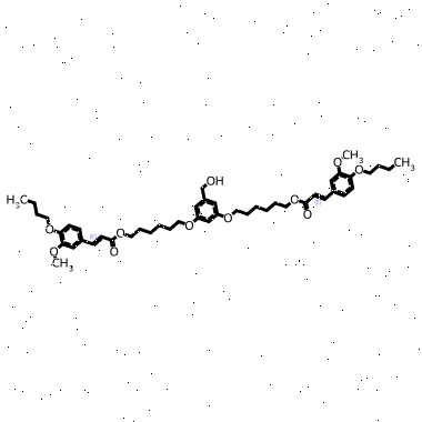 CCCCOc1ccc(/C=C/C(=O)OCCCCCCOc2cc(CO)cc(OCCCCCCOC(=O)/C=C/c3ccc(OCCCC)c(OC)c3)c2)cc1OC